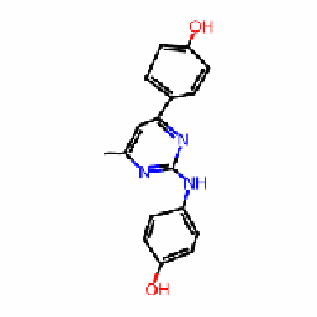 Cc1cc(-c2ccc(O)cc2)nc(Nc2ccc(O)cc2)n1